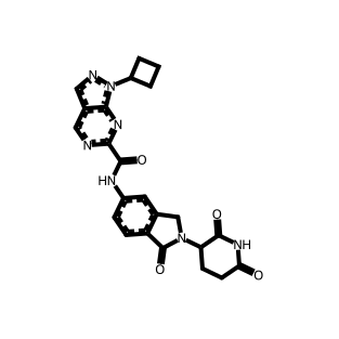 O=C1CCC(N2Cc3cc(NC(=O)c4ncc5cnn(C6CCC6)c5n4)ccc3C2=O)C(=O)N1